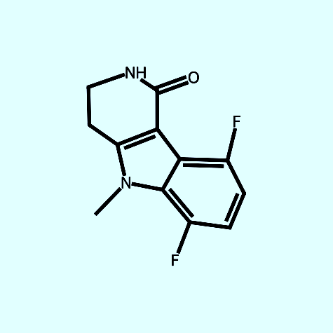 Cn1c2c(c3c(F)ccc(F)c31)C(=O)NCC2